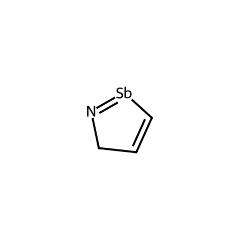 C1=[CH][Sb]=[N]C1